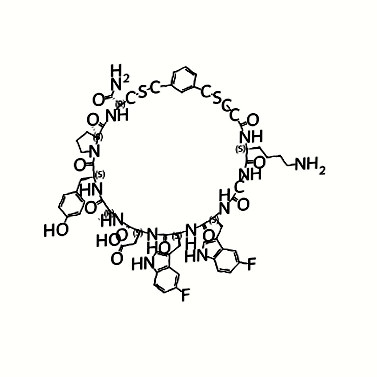 C[C@H]1NC(=O)[C@H](CC(=O)O)NC(=O)[C@H](Cc2c[nH]c3ccc(F)cc23)NC(=O)[C@H](Cc2c[nH]c3ccc(F)cc23)NC(=O)CNC(=O)[C@H](CCCCN)NC(=O)CCSCc2cccc(c2)CSC[C@@H](C(N)=O)NC(=O)[C@]2(C)CCCN2C(=O)[C@H](Cc2ccc(O)cc2)NC1=O